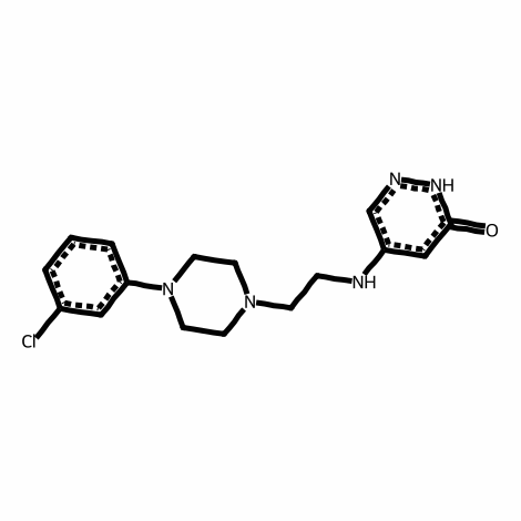 O=c1cc(NCCN2CCN(c3cccc(Cl)c3)CC2)cn[nH]1